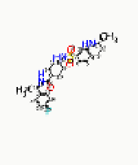 CC1CCc2ccc(S(=O)(=O)N[C@H]3CC[C@H](C(=O)N[C@H](C)c4ccc(F)cc4)CC3)cc2N1